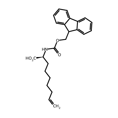 C=CCCCCC[C@H](NC(=O)OCC1c2ccccc2-c2ccccc21)C(=O)O